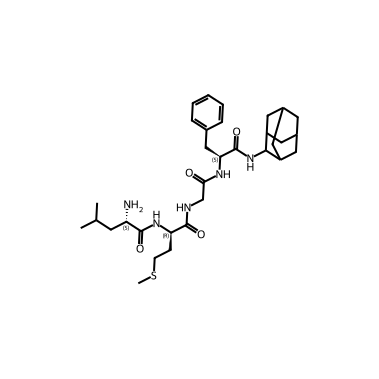 CSCC[C@@H](NC(=O)[C@@H](N)CC(C)C)C(=O)NCC(=O)N[C@@H](Cc1ccccc1)C(=O)NC1C2CC3CC(C2)CC1C3